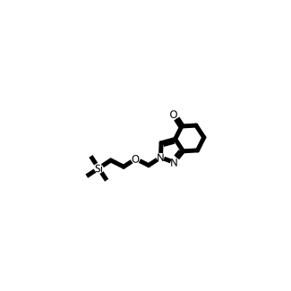 C[Si](C)(C)CCOCn1cc2c(n1)CCCC2=O